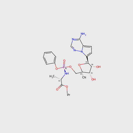 CC(C)OC(=O)[C@H](C)N[P@@](=O)(OC[C@@]1(C#N)O[C@@H](c2ccc3c(N)ncnn23)[C@H](O)[C@@H]1O)Oc1ccccc1